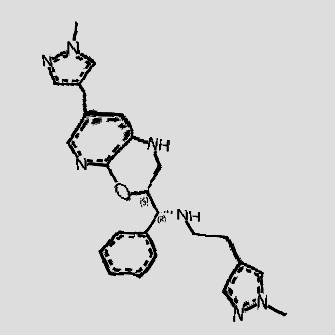 Cn1cc(CCN[C@H](c2ccccc2)[C@@H]2CNc3cc(-c4cnn(C)c4)cnc3O2)cn1